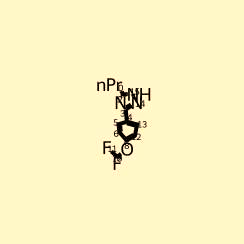 CCCc1nc(-c2ccc(OC(F)F)cc2)n[nH]1